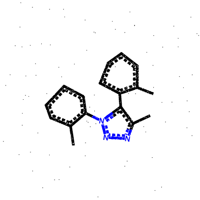 Cc1ccccc1-c1c(C)nnn1-c1ccccc1C